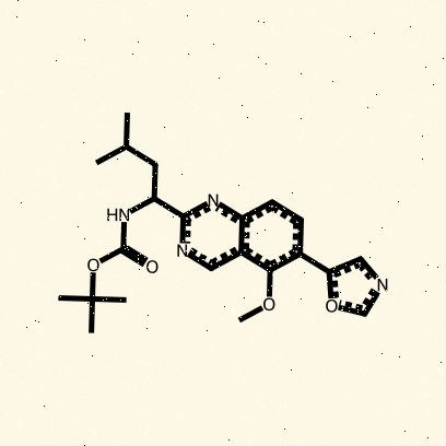 COc1c(-c2cnco2)ccc2nc(C(CC(C)C)NC(=O)OC(C)(C)C)ncc12